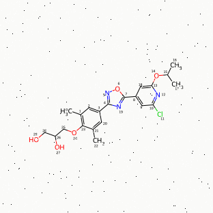 Cc1cc(-c2noc(-c3cc(Cl)nc(OC(C)C)c3)n2)cc(C)c1OCC(O)CO